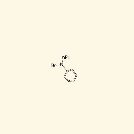 CCCN(Br)c1ccccc1